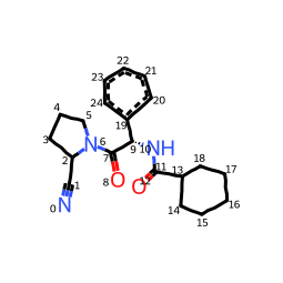 N#CC1CCCN1C(=O)[C@@H](NC(=O)C1CCCCC1)c1ccccc1